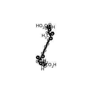 Cc1c(C(=O)c2ccc3[nH]c(=O)n(CC(=O)O)c(=O)c3c2)c2ccccn2c1-c1cccc(OCCOCCOCCOCCOc2cccc(-c3c(C)c(C(=O)c4ccc5[nH]c(=O)n(CC(=O)O)c(=O)c5c4)c4ccccn34)c2)c1